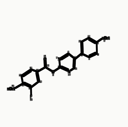 CCCCCCCCc1ccc(-c2cnc(OC(=O)c3ccc(CCCCCCCC)c(F)c3)nc2)cc1